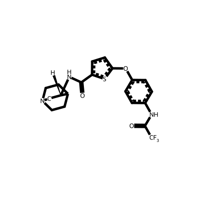 O=C(N[C@H]1CN2CCC1CC2)c1ccc(Oc2ccc(NC(=O)C(F)(F)F)cc2)s1